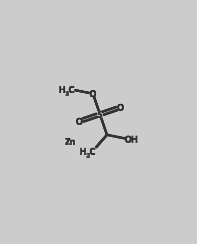 COS(=O)(=O)C(C)O.[Zn]